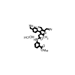 COC(=O)c1cccc(NC(=O)Cc2c(C)nc(CC(C)C)c(CN)c2-c2ccc(CN)cc2)c1.Cl.Cl